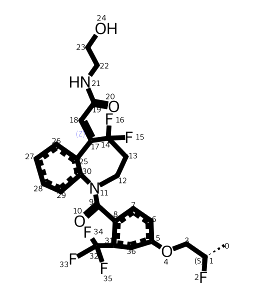 C[C@H](F)COc1ccc(C(=O)N2CCC(F)(F)/C(=C\C(=O)NCCO)c3ccccc32)c(C(F)(F)F)c1